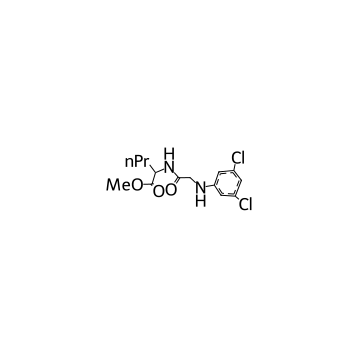 CCCC(NC(=O)CNc1cc(Cl)cc(Cl)c1)C(=O)OC